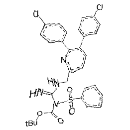 CC(C)(C)OC(=O)N(C(=N)NCc1ccc(-c2ccc(Cl)cc2)c(-c2ccc(Cl)cc2)n1)S(=O)(=O)c1ccccc1